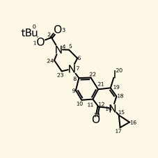 CC(C)(C)OC(=O)N1CCN(c2ccc3c(=O)n(C4CC4)cc(I)c3c2)CC1